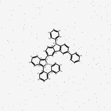 c1ccc(-c2ccc3c(c2)c2cc(-c4oc(-c5ccccc5-c5ccccc5)c5ccccc45)ccc2n3-c2ccccc2)cc1